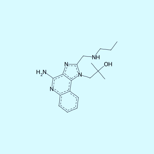 CCCNCc1nc2c(N)nc3ccccc3c2n1CC(C)(C)O